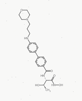 C[C@@H](O)[C@H](NC(=O)c1ccc(-c2ccc(NCCCN3CCOCC3)cc2)cc1)C(=O)NO